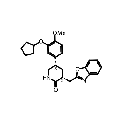 COc1ccc([C@H]2CNC(=O)[C@H](Cc3nc4ccccc4o3)C2)cc1OC1CCCC1